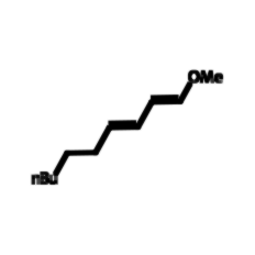 [CH2]O/C=C/C=C/CCCCCC